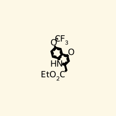 CCOC(=O)Cc1cc(=O)c2cc(OC(F)(F)F)ccc2[nH]1